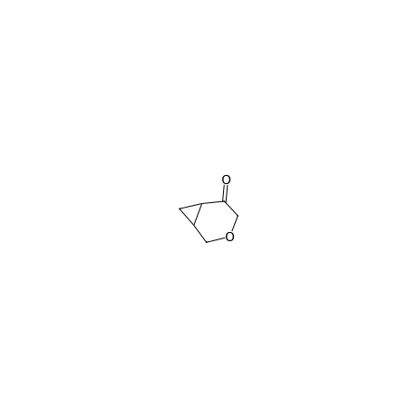 O=C1COCC2CC12